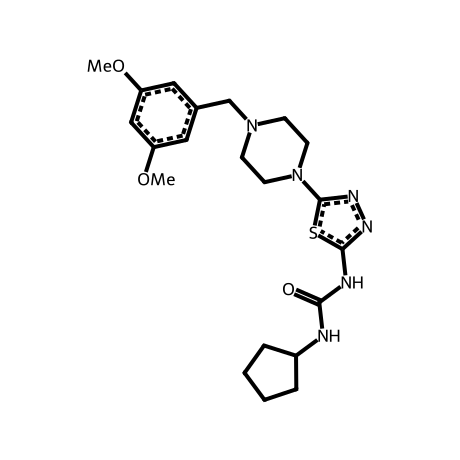 COc1cc(CN2CCN(c3nnc(NC(=O)NC4CCCC4)s3)CC2)cc(OC)c1